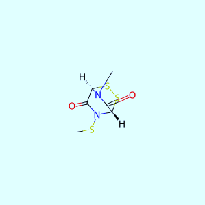 CSN1C(=O)[C@H]2SS[C@H]1C(=O)N2C